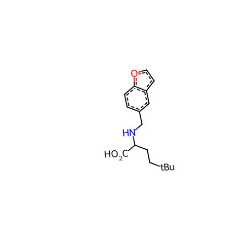 CC(C)(C)CCC(NCc1ccc2occc2c1)C(=O)O